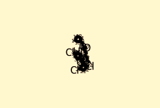 CC(CCCNC(=O)OCc1ccccc1)N(c1cc(Cl)ccc1Cl)S(=O)(=O)c1ccc(Cl)cc1